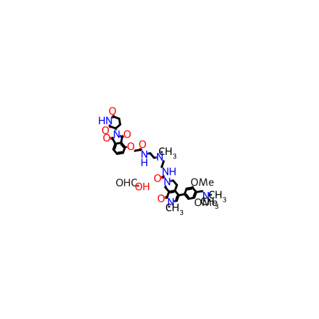 COc1cc(-c2cn(C)c(=O)c3c2CCN(C(=O)NCCN(C)CCNC(=O)COc2cccc4c2C(=O)N(C2CCC(=O)NC2=O)C4=O)C3)cc(OC)c1CN(C)C.O=CO